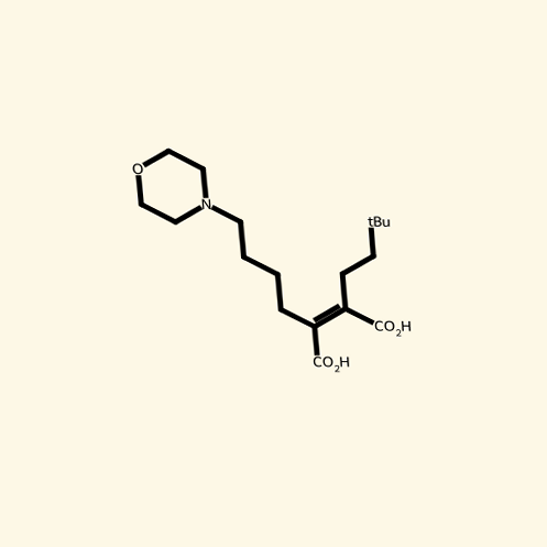 CC(C)(C)CCC(C(=O)O)=C(CCCCN1CCOCC1)C(=O)O